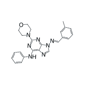 Cc1cccc(/C=N/n2cnc3c(Nc4ccccc4)nc(N4CCOCC4)nc32)c1